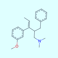 C/C=C(\c1cccc(OC)c1)C(Cc1ccccc1)CN(C)C